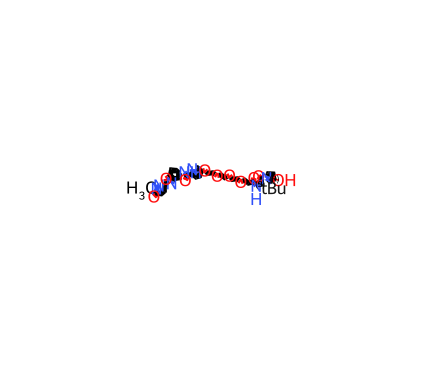 Cn1nc(-c2nc3cc(NC(=O)c4ccc(OCCOCCOCCOCCC(=O)N[C@H](C(=O)N5CC[C@@H](O)C5)C(C)(C)C)cn4)ccc3o2)ccc1=O